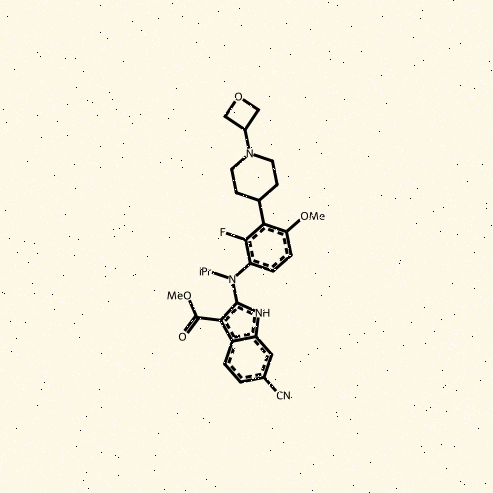 COC(=O)c1c(N(c2ccc(OC)c(C3CCN(C4COC4)CC3)c2F)C(C)C)[nH]c2cc(C#N)ccc12